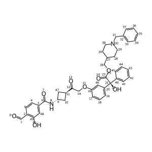 O=Cc1ccc(C(=O)N[C@H]2C[C@H](C(=O)COc3cccc([C@](O)(C(=O)OCC4CCN(Cc5ccccc5)CC4)c4ccccc4)c3)C2)cc1O